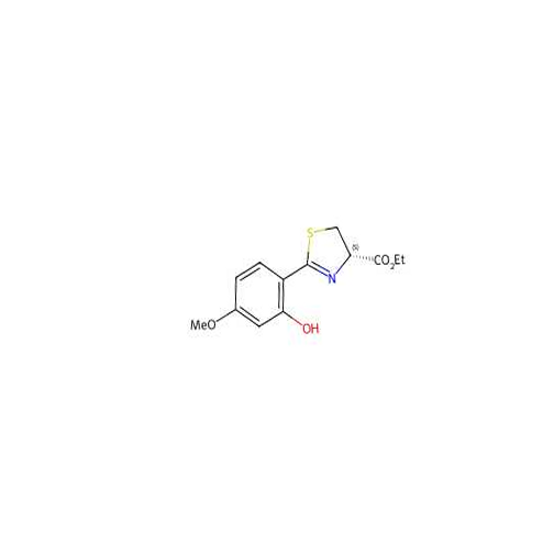 CCOC(=O)[C@H]1CSC(c2ccc(OC)cc2O)=N1